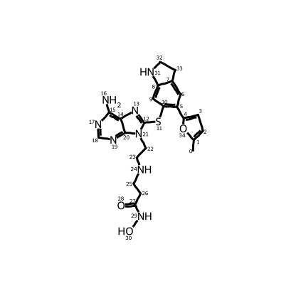 Cc1ccc(-c2cc3c(cc2Sc2nc4c(N)ncnc4n2CCNCCC(=O)NO)NCC3)o1